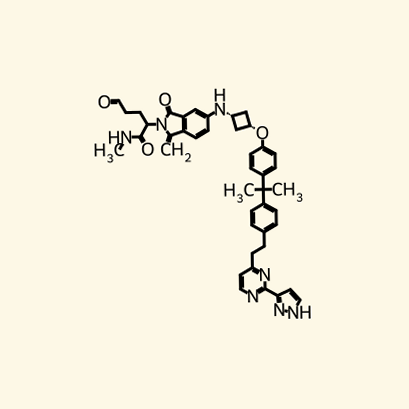 C=C1c2ccc(N[C@H]3C[C@@H](Oc4ccc(C(C)(C)c5ccc(CCc6ccnc(-c7cc[nH]n7)n6)cc5)cc4)C3)cc2C(=O)N1C(CCC=O)C(=O)NC